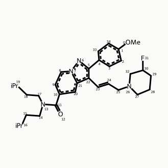 COc1ccc(-c2nn3ccc(C(=O)N(CCC(C)C)CCC(C)C)cc3c2/C=C/CN2CCCC(F)C2)cc1